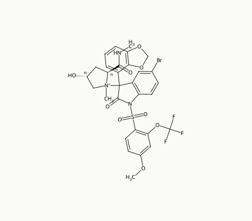 CNC(=O)[C@@H]1C[C@@H](O)C[N+]1(C)C1(c2cccc3c2OCO3)C(=O)N(S(=O)(=O)c2ccc(OC)cc2OC(F)(F)F)c2ccc(Br)cc21